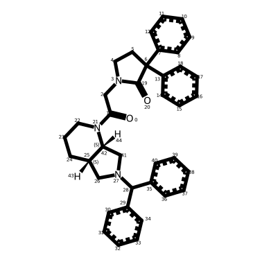 O=C(CN1CCC(c2ccccc2)(c2ccccc2)C1=O)N1CCC[C@H]2CN(C(c3ccccc3)c3ccccc3)C[C@H]21